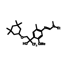 CCN(C)C=Nc1cc(OC)c(C(O)(COC2CC(C)(C)CC(C)(C)C2)C(F)(F)F)cc1C